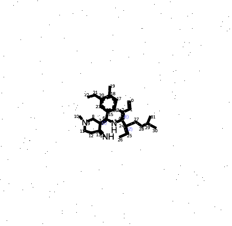 C=C/C(C)=C(N/C(=C1/CN(C)CCC1=N)c1ccc(C)c(CC)c1)\C(=C/C)CCC(C)C